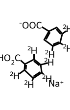 [2H]c1c([2H])c([2H])c(C(=O)O)c([2H])c1[2H].[2H]c1cc(C(=O)[O-])cc([2H])c1[2H].[Na+]